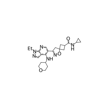 CCn1ncc2c(NC3CCOCC3)c(C3=NOC4(C3)CC(C(=O)NC3CC3)C4)cnc21